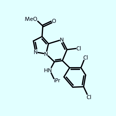 COC(=O)c1cnn2c(NC(C)C)c(-c3ccc(Cl)cc3Cl)c(Cl)nc12